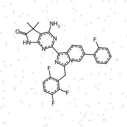 CC1(C)C(=O)Nc2nc(-c3nc(Cc4c(F)ccc(F)c4F)n4cc(-c5ccccc5F)ccc34)nc(N)c21